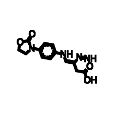 N=N/C(=C\Nc1ccc(N2CCOC2=O)cc1)CC(=O)O